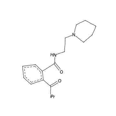 CC(C)C(=O)c1ccccc1C(=O)NCCN1CCCCC1